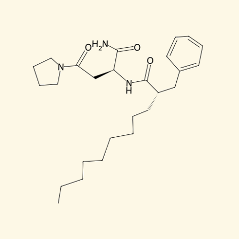 CCCCCCCCC[C@@H](Cc1ccccc1)C(=O)N[C@@H](CC(=O)N1CCCC1)C(N)=O